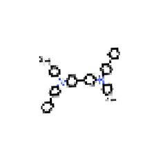 [2H]c1ccc(N(c2ccc(-c3ccccc3)cc2)c2ccc(-c3ccc(N(c4ccc([2H])cc4)c4ccc(-c5ccccc5)cc4)cc3)cc2)cc1